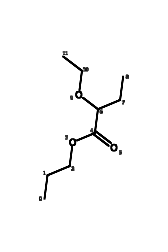 CCCOC(=O)C(CC)OCC